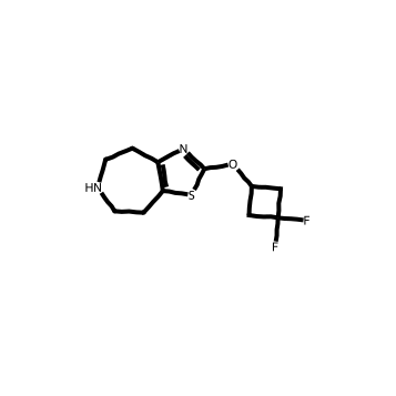 FC1(F)CC(Oc2nc3c(s2)CCNCC3)C1